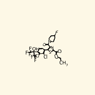 CCOC(=O)c1nc(C(=O)N2CCC(F)CC2)c(-c2ccc(C(O)(C(F)(F)F)C(F)(F)F)c(Cl)c2Cl)s1